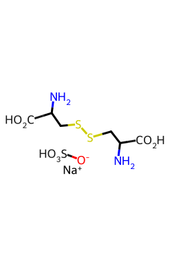 NC(CSSCC(N)C(=O)O)C(=O)O.O=S(=O)([O-])O.[Na+]